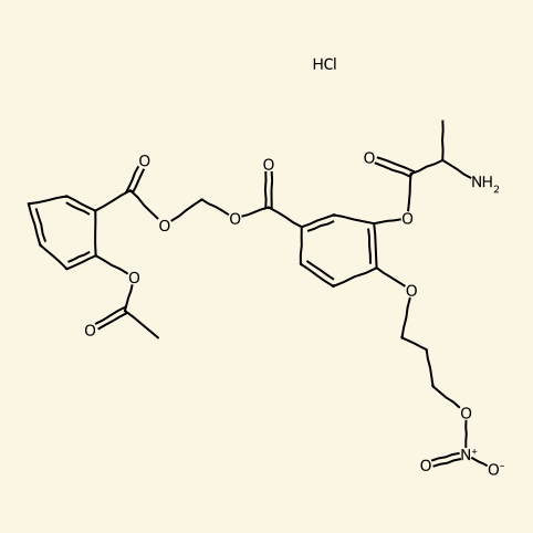 CC(=O)Oc1ccccc1C(=O)OCOC(=O)c1ccc(OCCCO[N+](=O)[O-])c(OC(=O)C(C)N)c1.Cl